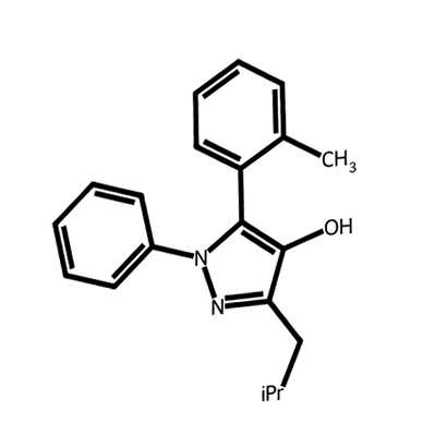 Cc1ccccc1-c1c(O)c(CC(C)C)nn1-c1ccccc1